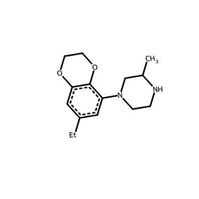 CCc1cc2c(c(N3CCNC(C)C3)c1)OCCO2